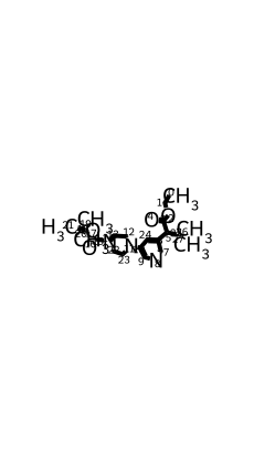 CCOC(=O)C(c1cncc(N2CCN(C(=O)OC(C)(C)C)CC2)c1)C(C)C